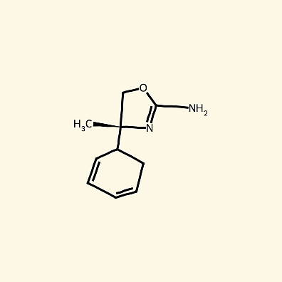 C[C@@]1(C2C=CC=CC2)COC(N)=N1